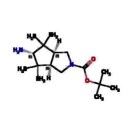 BC1(B)[C@H](N)C(B)(B)[C@H]2CN(C(=O)OC(C)(C)C)C[C@H]21